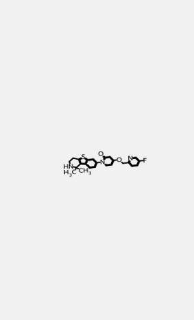 CC1(C)NCCc2sc3cc(-n4ccc(OCc5ccc(F)cn5)cc4=O)ccc3c21